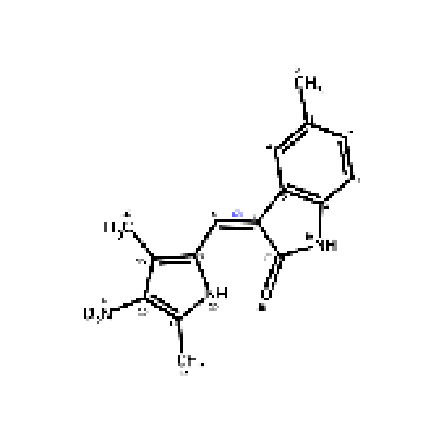 Cc1ccc2c(c1)/C(=C/c1[nH]c(C)c([N+](=O)[O-])c1C)C(=O)N2